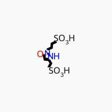 O=c1cc(CCS(=O)(=O)O)[nH]n1CCCCS(=O)(=O)O